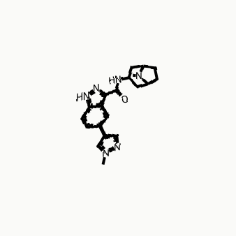 CN1C2CCC1CC(NC(=O)c1n[nH]c3ccc(-c4cnn(C)c4)cc13)C2